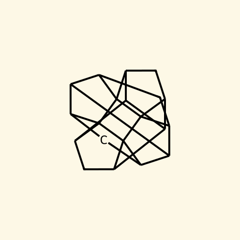 C1C2C3C4C1C15C6CC7C8C6C6CC8C8(C3CC4C618)C275